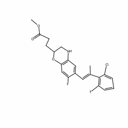 COC(=O)CCC1CNc2cc(C=C(C)c3c(F)cccc3Cl)c(F)cc2O1